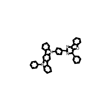 c1ccc(-c2nc(-c3ccc(-n4c5ccccc5c5cc6c(cc54)c4ccccc4n6-c4ccccc4)cc3)nc3c2oc2ccccc23)cc1